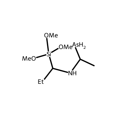 CCC(NC(C)[AsH2])[Si](OC)(OC)OC